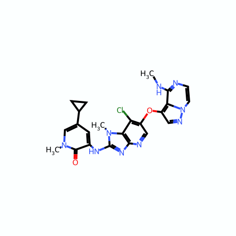 CNc1nccn2ncc(Oc3cnc4nc(Nc5cc(C6CC6)cn(C)c5=O)n(C)c4c3Cl)c12